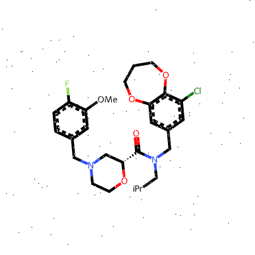 COc1cc(CN2CCO[C@@H](C(=O)N(Cc3cc(Cl)c4c(c3)OCCCO4)CC(C)C)C2)ccc1F